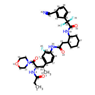 CCC(=O)N[C@@H](C(=O)N1CCOCC1)[C@@H](C)c1ccc(NC(=O)CC2CCCCC2NC(=O)C(F)(F)c2cccc(C#N)c2)c(F)c1